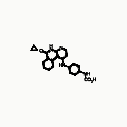 C1CC1.O=C(O)Nc1ccc(Nc2ccnc3[nH]c(=O)c4ccccc4c23)cc1